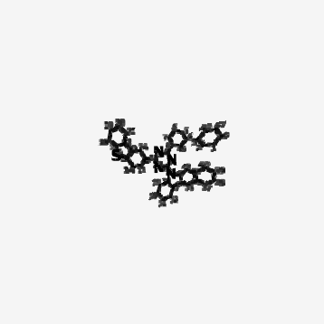 c1ccc(-c2cccc(-c3nc(-c4ccc5sc6ccccc6c5c4)nc(-n4c5ccccc5c5cc6ccccc6cc54)n3)c2)cc1